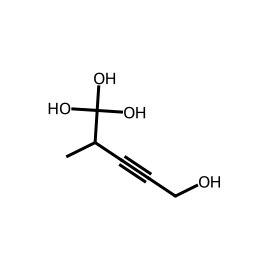 CC(C#CCO)C(O)(O)O